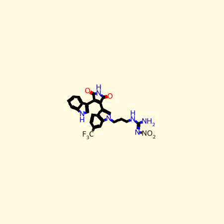 NC(=N[N+](=O)[O-])NCCCn1cc(C2=C(c3c[nH]c4ccccc34)C(=O)NC2=O)c2ccc(C(F)(F)F)cc21